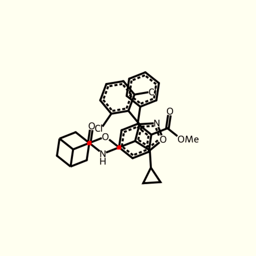 COC(=O)c1ccc(NC(=O)C2C3CC(OCc4c(-c5c(Cl)cccc5Cl)noc4C4CC4)CC2C3)cc1-c1ccccc1